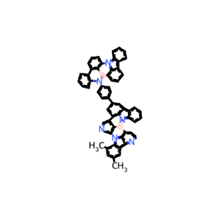 Cc1cc(C)c2c(c1)c1nccc3c1n2-c1cncc2c1B3n1c3ccccc3c3cc(-c4ccc(N5B6c7c(cccc7-n7c8ccccc8c8cccc6c87)-c6ccccc65)cc4)cc-2c31